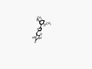 COc1ccc(OC)c(-c2ccc(/C=C3/NC(=S)NC3=O)s2)c1